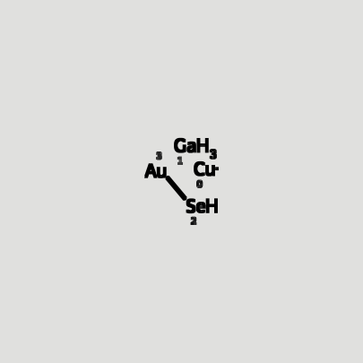 [Cu].[GaH3].[SeH][Au]